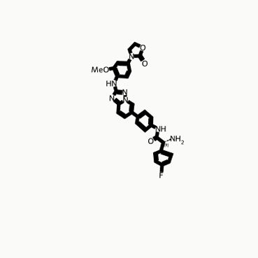 COc1cc(N2CCOC2=O)ccc1Nc1nc2ccc(-c3ccc(NC(=O)[C@H](N)c4ccc(F)cc4)cc3)cn2n1